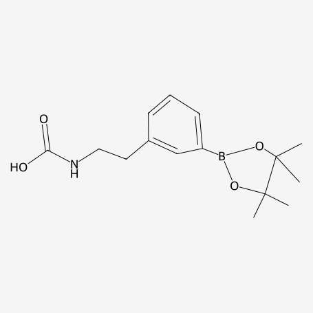 CC1(C)OB(c2cccc(CCNC(=O)O)c2)OC1(C)C